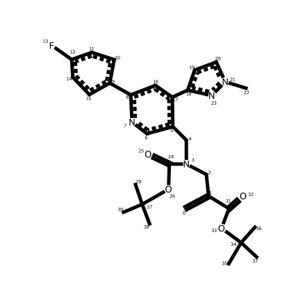 C=C(CN(Cc1cnc(-c2ccc(F)cc2)cc1-c1ccn(C)n1)C(=O)OC(C)(C)C)C(=O)OC(C)(C)C